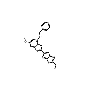 CCc1nn2cc(-c3nc4cc(OC)cc(OCc5ccccc5)c4s3)nc2s1